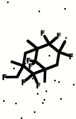 CC1(F)CC2(C)C(F)(F)C(C)(CF)CC(C)(C1(F)F)C2(F)F